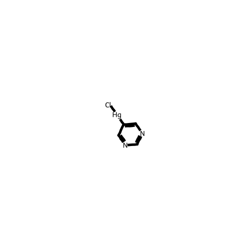 [Cl][Hg][c]1cncnc1